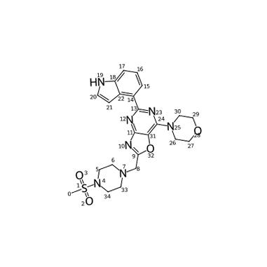 CS(=O)(=O)N1CCN(Cc2nc3nc(-c4cccc5[nH]ccc45)nc(N4CCOCC4)c3o2)CC1